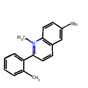 Cc1ccccc1-c1ccc2cc(C(C)(C)C)ccc2[n+]1C